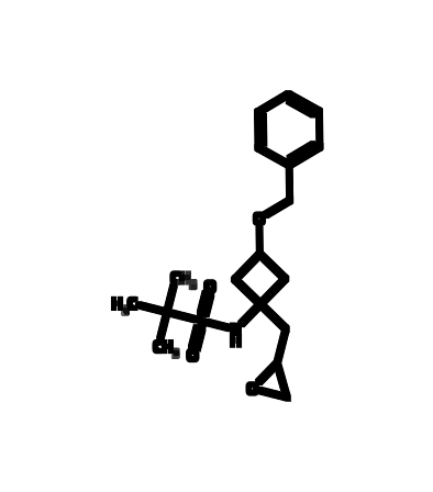 CC(C)(C)S(=O)(=O)NC1(CC2CO2)CC(OCc2ccccc2)C1